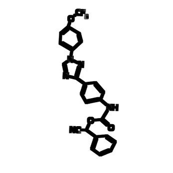 N#CC(OC(=O)Nc1ccc(-c2ncn(-c3ccc(OC(F)(F)F)cc3)n2)cc1)c1ccccc1